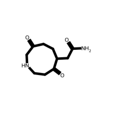 NC(=O)CC1CCC(=O)CNCCC1=O